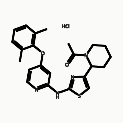 CC(=O)N1CCCCC1c1csc(Nc2cc(Oc3c(C)cccc3C)ccn2)n1.Cl